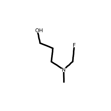 CN(CF)CCCO